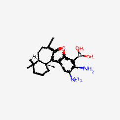 CC1CC[C@@H]2C(C)(C)CCC[C@@]2(C)c2c1oc1c(B(O)O)c(N)c(N)cc21